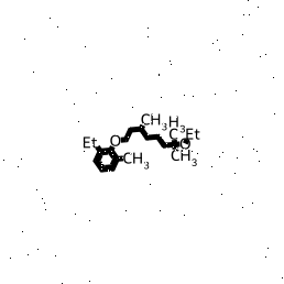 CCOC(C)(C)CCCC(C)CCOc1c(C)cccc1CC